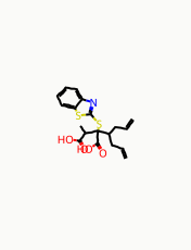 C=CCC(CC=C)C(Sc1nc2ccccc2s1)(C(=O)O)C(C)C(=O)O